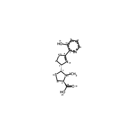 CN1C([C@@H]2CSC(c3ncccc3O)=N2)SC[C@@H]1C(=O)O